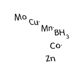 B.[Co].[Cu].[Mn].[Mo].[Zn]